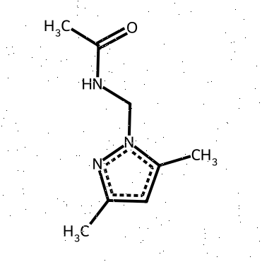 CC(=O)NCn1nc(C)cc1C